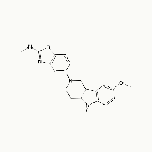 COc1ccc2c(c1)C1CN(c3ccc4oc(N(C)C)nc4c3)CCC1N2C